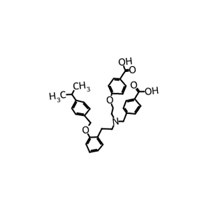 CC(C)c1ccc(COc2ccccc2CCN(CCOc2ccc(C(=O)O)cc2)Cc2ccc(C(=O)O)cc2)cc1